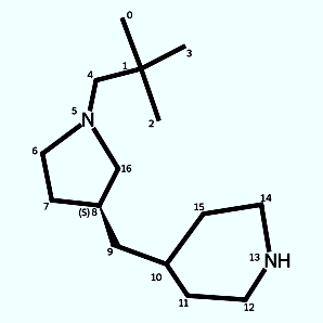 CC(C)(C)CN1CC[C@H](CC2CCNCC2)C1